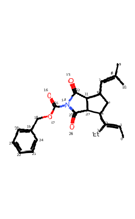 CC=C(CC)C1CC(C=C(C)C)C2C(=O)N(C(=O)OCc3ccccc3)C(=O)C12